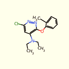 CCN(CC)c1cc(Cl)nnc1Oc1ccccc1C